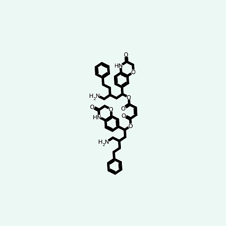 NCC(CCc1ccccc1)CC(OC(=O)/C=C\C(=O)OC(CC(CN)CCc1ccccc1)c1ccc2c(c1)OCC(=O)N2)c1ccc2c(c1)OCC(=O)N2